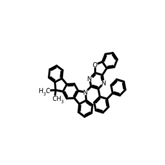 CC1(C)c2ccccc2-c2cc3c(cc21)c1ccccc1n3-c1nc2oc3ccccc3c2nc1-c1ccccc1-c1ccccc1